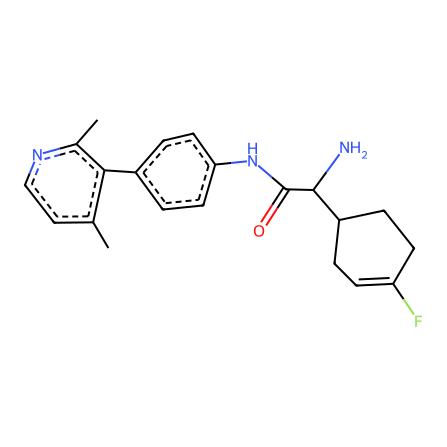 Cc1ccnc(C)c1-c1ccc(NC(=O)C(N)C2CC=C(F)CC2)cc1